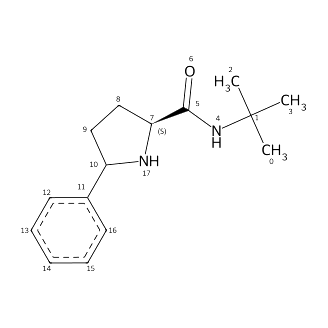 CC(C)(C)NC(=O)[C@@H]1CCC(c2ccccc2)N1